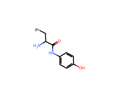 CC(C)CC(N)C(=O)Nc1ccc(O)cc1